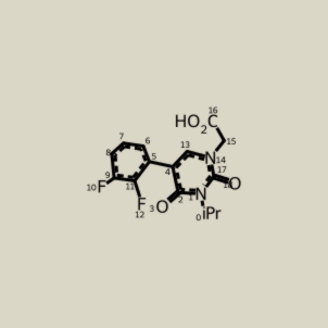 CC(C)n1c(=O)c(-c2cccc(F)c2F)cn(CC(=O)O)c1=O